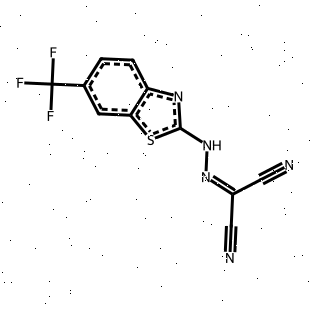 N#CC(C#N)=NNc1nc2ccc(C(F)(F)F)cc2s1